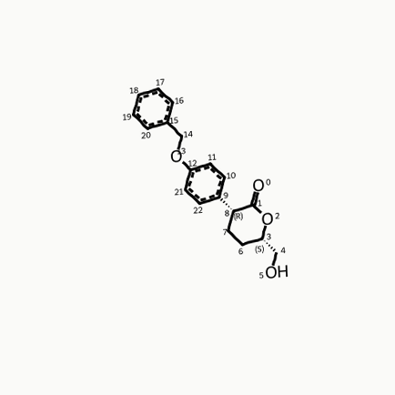 O=C1O[C@H](CO)CC[C@@H]1c1ccc(OCc2ccccc2)cc1